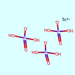 O=P([O-])(O)O.O=P([O-])(O)O.O=P([O-])(O)O.[Sc+3]